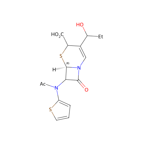 CCC(O)C1=CN2C(=O)C(N(C(C)=O)c3cccs3)[C@H]2SC1C(=O)O